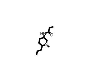 CCCC1CCC(NC(=O)CC)CN1C